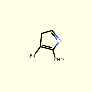 CC(C)(C)C1=C(C=O)N=CC1